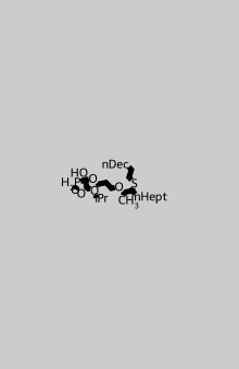 CCCCCCCCCCCCSC(CCCCCCC)C(C)OCCCOC(O)([PH2]=O)C(=O)OC(C)C